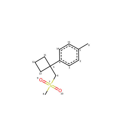 Cc1ccc(C2(CS(C)(=O)=O)CCC2)cc1